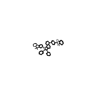 CC1(C)C2=C(C=CCC2)c2ccc(-n3c(-c4ccccc4)c(-c4ccccc4)c4ccc5c(-c6ccc(-c7nc8ccccc8o7)cc6)cccc5c43)cc21